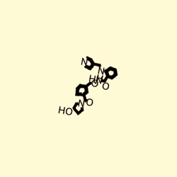 O=C(NOCc1cccc(C(=O)N2CCC(O)C2)c1)c1ccccc1NCc1ccncc1